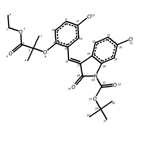 CCOC(=O)C(C)(C)Oc1ccc(Cl)cc1/C=C1/C(=O)N(C(=O)OC(C)(C)C)c2cc(Cl)ccc21